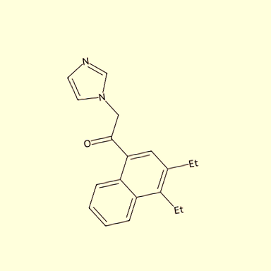 CCc1cc(C(=O)Cn2ccnc2)c2ccccc2c1CC